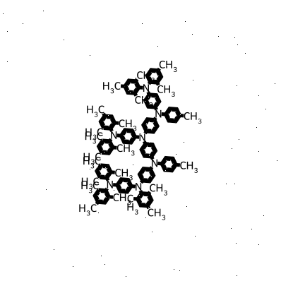 Cc1ccc(N(c2ccc(N(c3ccc(N(c4ccc(C)cc4)c4ccc(N(c5ccc(C)cc5C)c5c(C)cc(C)cc5C)cc4)cc3)c3ccc(N(c4c(C)cc(C)cc4C)c4c(C)cc(C)cc4C)cc3)cc2)c2ccc(N(c3ccc(N(c4c(C)cc(C)cc4C)c4c(C)cc(C)cc4C)cc3)c3c(C)cc(C)cc3C)cc2)cc1